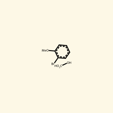 COc1ccccc1Br.O=C(O)O